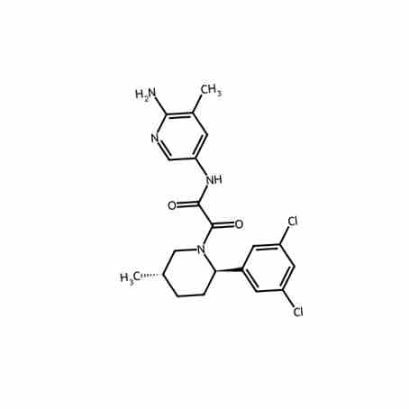 Cc1cc(NC(=O)C(=O)N2C[C@@H](C)CC[C@@H]2c2cc(Cl)cc(Cl)c2)cnc1N